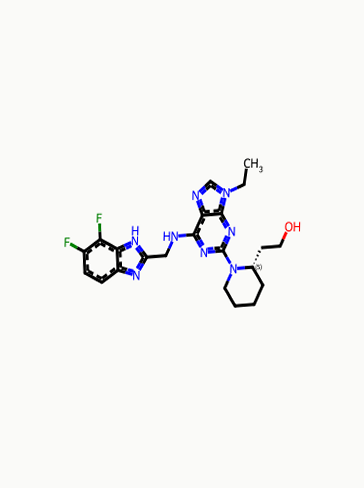 CCn1cnc2c(NCc3nc4ccc(F)c(F)c4[nH]3)nc(N3CCCC[C@H]3CCO)nc21